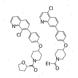 CCC(=O)N1CCC(Oc2ccc(-c3ccc4c(Cl)ccnc4c3)cc2)CC1.O=C([C@H]1CCCO1)N1CCC(Oc2ccc(-c3ccc4cccnc4c3Cl)cc2)CC1